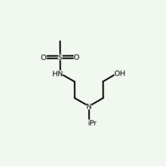 CC(C)N(CCO)CCNS(C)(=O)=O